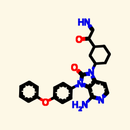 N=CC(=O)C1CCCC(n2c(=O)n(-c3ccc(Oc4ccccc4)cc3)c3c(N)nccc32)C1